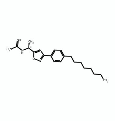 CCCCCCCCc1ccc(-c2noc([C@H](C)NC(=N)N)n2)cc1